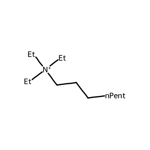 CCCCCCCC[N+](CC)(CC)CC